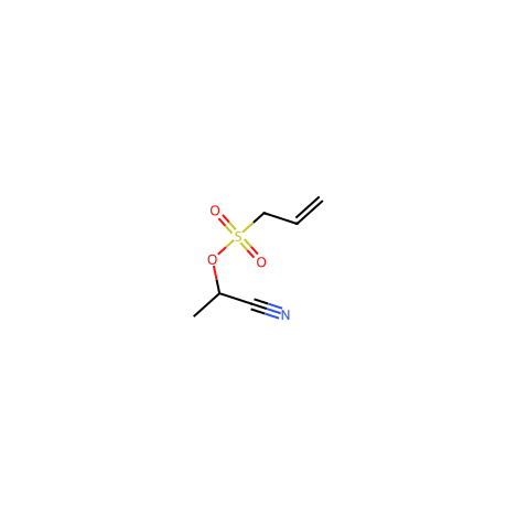 C=CCS(=O)(=O)OC(C)C#N